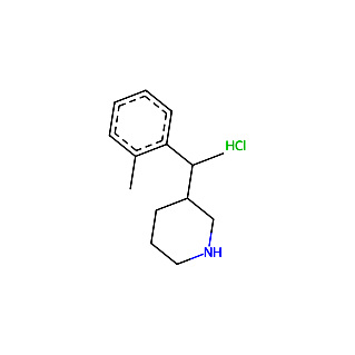 Cc1ccccc1C(C)C1CCCNC1.Cl